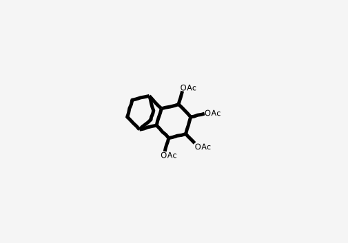 CC(=O)OC1C(OC(C)=O)C(OC(C)=O)C2C3CCC(CC3)C2C1OC(C)=O